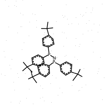 CC(C)(C)c1ccc(P([N]P(c2ccc(C(C)(C)C)cc2)c2ccc(C(C)(C)C)cc2)c2ccc(C(C)(C)C)cc2)cc1